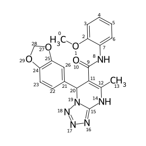 COc1ccccc1NC(=O)C1=C(C)Nc2nnnn2C1c1ccc2c(c1)OCO2